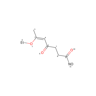 CCO/C(C)=C\C(=O)CCC(=O)N=O